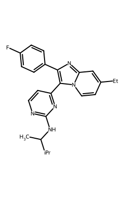 CCc1ccn2c(-c3ccnc(NC(C)C(C)C)n3)c(-c3ccc(F)cc3)nc2c1